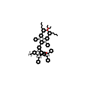 CCCCc1cc(CCCC)cc(-c2ccc3c(c2)B2c4cc(-c5cc(CCCC)cc(CCCC)c5)ccc4N(c4ccccc4)c4cc(-c5ccc6c(c5)c5cc(-c7nc(-c8ccccc8)nc(-c8ccccc8)n7)ccc5n6-c5ccc(C(F)(F)F)cc5-c5nc(-c6ccccc6)nc(-c6ccccc6)n5)cc(c42)N3c2ccccc2)c1